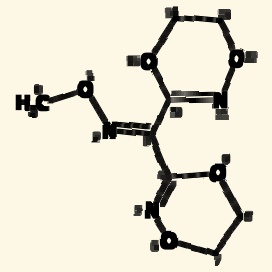 CON=C(C1=NOCCO1)C1=NOCCO1